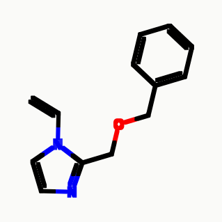 C=Cn1ccnc1COCc1ccccc1